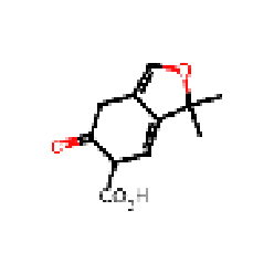 CC1(C)OC=C2CC(=O)C(C(=O)O)C=C21